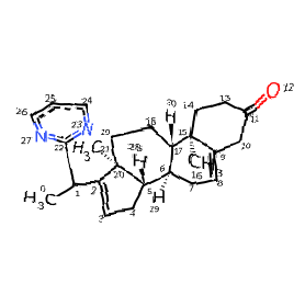 CC(C1=CC[C@H]2[C@@H]3CC=C4CC(=O)CC[C@]4(C)[C@H]3CC[C@]12C)c1ncccn1